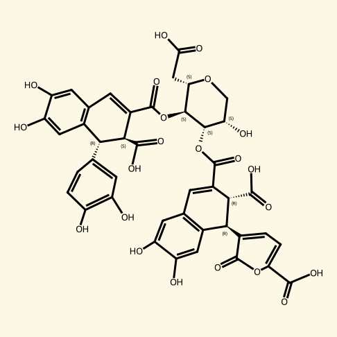 O=C(O)C[C@@H]1OC[C@H](O)[C@H](OC(=O)C2=Cc3cc(O)c(O)cc3[C@H](c3ccc(C(=O)O)oc3=O)[C@H]2C(=O)O)[C@H]1OC(=O)C1=Cc2cc(O)c(O)cc2[C@@H](c2ccc(O)c(O)c2)[C@@H]1C(=O)O